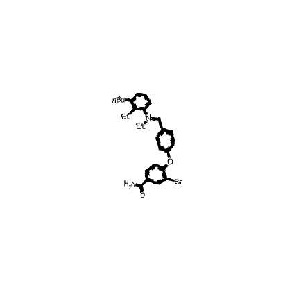 CCCCc1cccc(N(CC)Cc2ccc(Oc3ccc(C(N)=O)cc3Br)cc2)c1CC